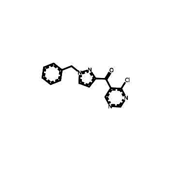 O=C(c1ccn(Cc2ccccc2)n1)c1cncnc1Cl